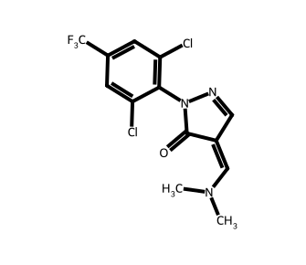 CN(C)C=C1C=NN(c2c(Cl)cc(C(F)(F)F)cc2Cl)C1=O